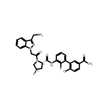 CC(=O)c1ccc(Cl)c(-c2cccc(NC(=O)[C@@H]3C[C@@H](F)CN3C(=O)Cn3nc(CN)c4ccccc43)c2F)c1